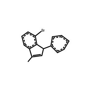 CC1=CC(c2ccccc2)c2c(Br)cccc21